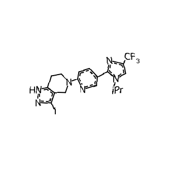 CC(C)n1cc(C(F)(F)F)nc1-c1ccc(N2CCc3[nH]nc(I)c3C2)nc1